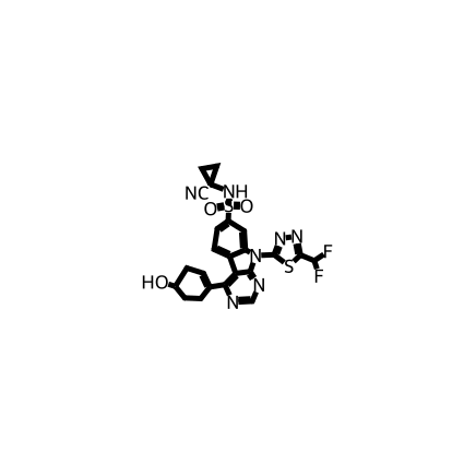 N#CC1(NS(=O)(=O)c2ccc3c4c(C5=CCC(O)CC5)ncnc4n(-c4nnc(C(F)F)s4)c3c2)CC1